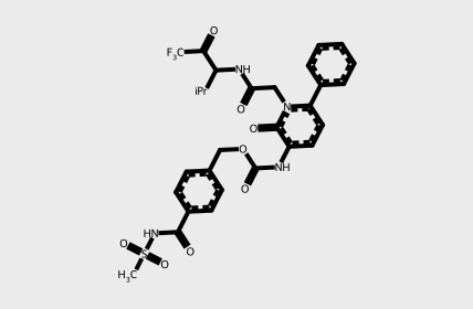 CC(C)C(NC(=O)Cn1c(-c2ccccc2)ccc(NC(=O)OCc2ccc(C(=O)NS(C)(=O)=O)cc2)c1=O)C(=O)C(F)(F)F